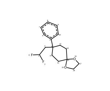 FC(F)CC1(c2ccccc2)CCC2(CC1)OCCO2